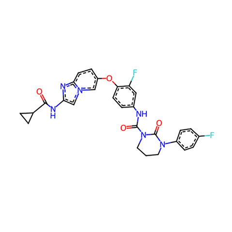 O=C(Nc1cn2cc(Oc3ccc(NC(=O)N4CCCN(c5ccc(F)cc5)C4=O)cc3F)ccc2n1)C1CC1